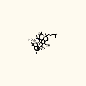 CC(C)=CCC[C@]1(C)C=Cc2c(O)c3c(c(CC4OC4(C)C)c2O1)O[C@]12C(=C[C@@H]4CC1C(C)(C)O[C@@]2(C/C=C(/C)C(=O)O)C4=O)C3=O